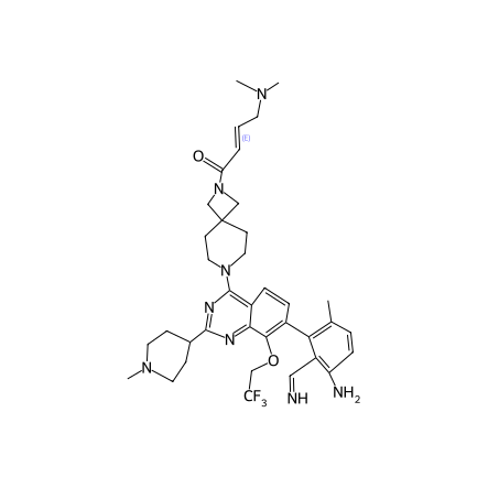 Cc1ccc(N)c(C=N)c1-c1ccc2c(N3CCC4(CC3)CN(C(=O)/C=C/CN(C)C)C4)nc(C3CCN(C)CC3)nc2c1OCC(F)(F)F